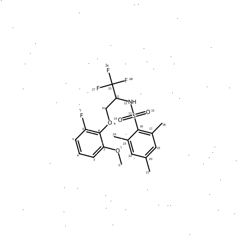 COc1cccc(F)c1OCC(NS(=O)(=O)c1c(C)cc(C)cc1C)C(F)(F)F